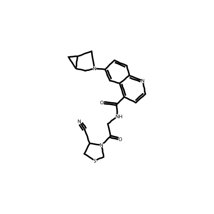 N#CC1CSCN1C(=O)CNC(=O)c1ccnc2ccc(N3CC4CC4C3)cc12